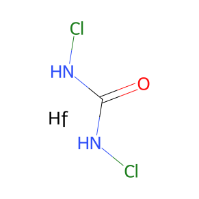 O=C(NCl)NCl.[Hf]